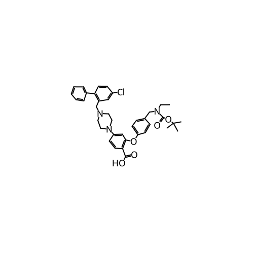 CCN(Cc1ccc(Oc2cc(N3CCN(Cc4cc(Cl)ccc4-c4ccccc4)CC3)ccc2C(=O)O)cc1)C(=O)OC(C)(C)C